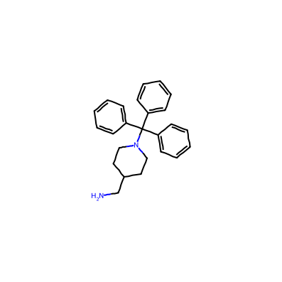 NCC1CCN(C(c2ccccc2)(c2ccccc2)c2ccccc2)CC1